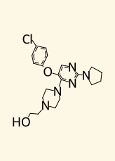 OCCN1CCN(c2nc(N3CCCC3)ncc2Oc2ccc(Cl)cc2)CC1